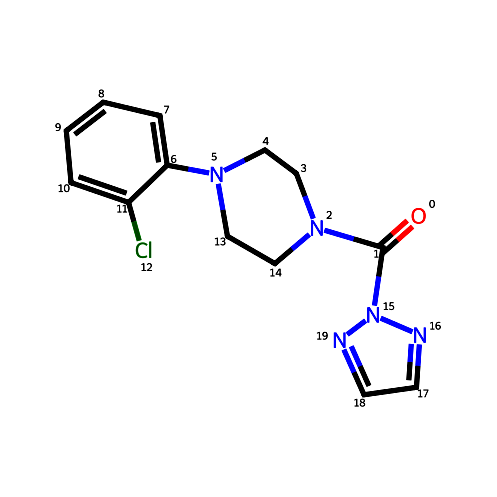 O=C(N1CCN(c2ccccc2Cl)CC1)n1nccn1